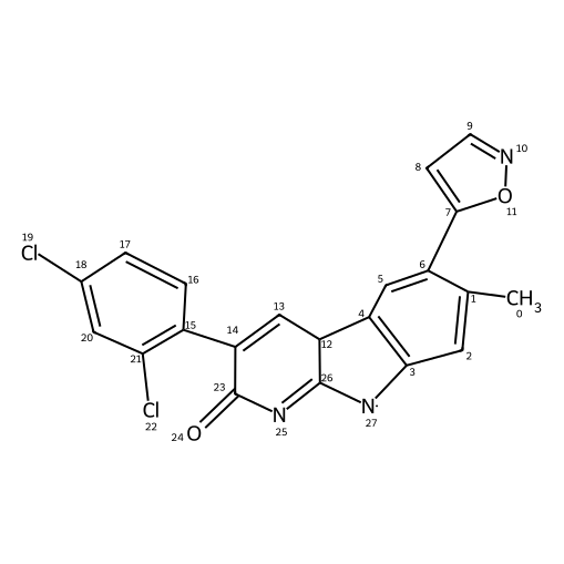 Cc1cc2c(cc1-c1ccno1)C1C=C(c3ccc(Cl)cc3Cl)C(=O)N=C1[N]2